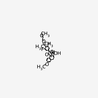 CCOc1ccc2c(c1)CCN(C(=O)O)[C@@H]2C(=O)Nc1cc(F)c(C(C)(C)COCCOC)c(F)c1